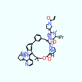 C=CC(=O)N1CC[C@H](C(=O)N(C)C(C(=O)N[C@H]2Cc3cccc(c3)-c3ccc4c(c3)c(c(-c3cccnc3[C@H]3CCCN3)n4CC)CC(C)(C)COC(=O)[C@@H]3CCCN(N3)C2=O)C(C)C)C1